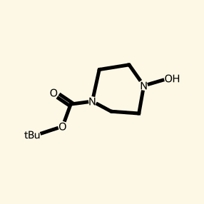 CC(C)(C)OC(=O)N1CCN(O)CC1